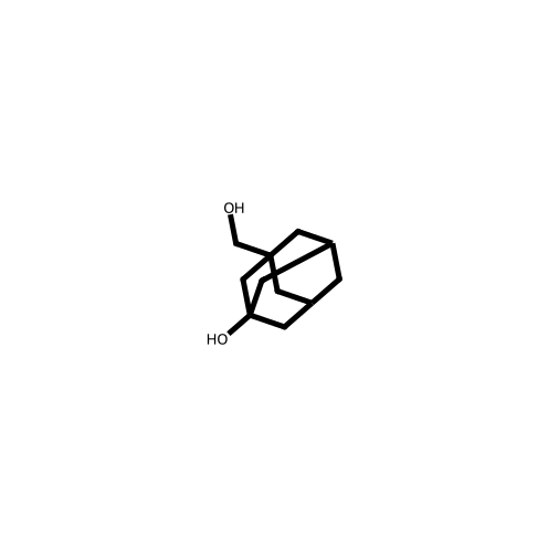 OCC12CC3CC(CC(O)(C3)C1)C2